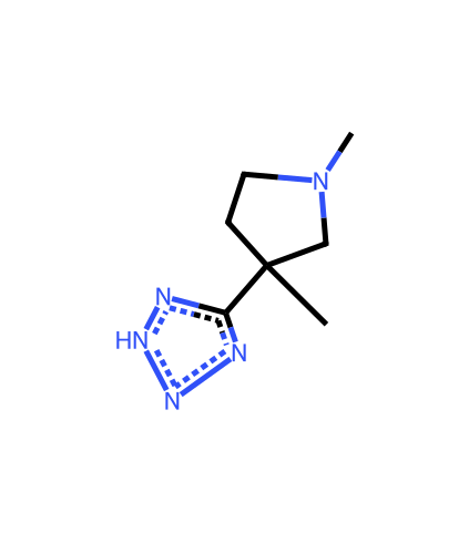 CN1CCC(C)(c2nn[nH]n2)C1